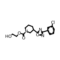 O=C(OCCO)N1CCCC(c2nc(-c3cccc(Cl)c3)no2)C1